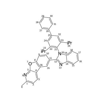 Cc1ccc2c(n1)oc1ccc(-c3nc4ccccc4n3-c3c(C(C)C)cc(-c4ccccc4)cc3C(C)C)cc12